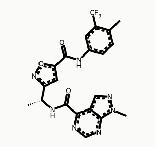 Cc1ccc(NC(=O)c2cc([C@@H](C)NC(=O)c3ncnc4c3cnn4C)no2)cc1C(F)(F)F